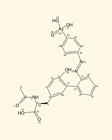 CC(=O)N[C@@H](Cc1ccc(O)c(-c2ccccc2N=Nc2ccc([As](=O)(O)O)cc2)c1)C(=O)O